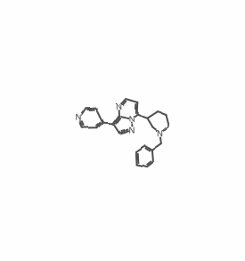 c1ccc(CN2CCCC(c3ccnc4c(-c5ccncc5)cnn34)C2)cc1